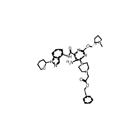 CN1CCC[C@H]1COc1nc(C(=O)Nc2cccc3c2cnn3C2CCCCO2)c(N)c(N2CCN(CC(=O)OCc3ccccc3)CC2)n1